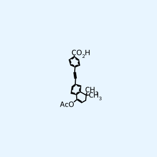 CC(=O)OC1=CCC(C)(C)c2cc(C#Cc3ccc(C(=O)O)cc3)ccc21